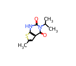 Cc1cc2c(=O)n(C(C)C)c(=O)[nH]c2s1